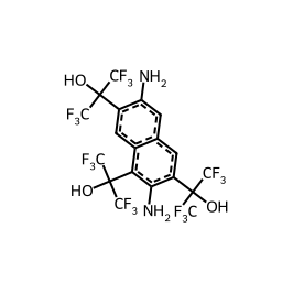 Nc1cc2cc(C(O)(C(F)(F)F)C(F)(F)F)c(N)c(C(O)(C(F)(F)F)C(F)(F)F)c2cc1C(O)(C(F)(F)F)C(F)(F)F